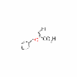 CCC=C(OCc1ccccc1)C(=O)O